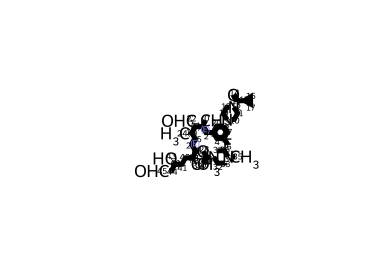 C/C(=C\c1cc(F)cc(N2CCN(C(=O)C3CC3)CC2)c1)[C@@H](C=O)[C@@H](C)/C=C/[C@H](OC(=O)N1CCN(C)CC1)[C@@H](C)CC[C@@H](O)CC=O